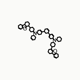 C1=CC2=C(CC1)OC1=C(C3CCC(N(C4C=CC(C5C=CCC(C6=CCC(N(C7CC=CCC7)C7CCC(C8CCCC9C%10=C(C=CCC%10)OC98)CC7)CC6)C5)=CC4)C4CCCCC4)CC3)CCCC21